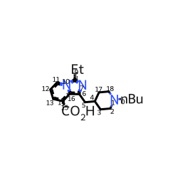 CCCCN1CCC(Cc2nc(CC)n3cccc(C(=O)O)c23)CC1